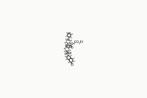 CCOC(=O)COC(=O)NC1(CN2CCN(S(=O)(=O)c3ccc4cc(Cl)ccc4c3)CC2=O)CCN(c2ccncc2)CC1